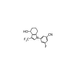 N#Cc1cc(F)cc(-n2cc(C(F)(F)F)c3c2CCCC3O)c1